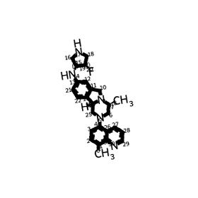 Cc1ccc(N2C[C@@H](C)N3Cc4cc(N[C@H]5CNC[C@H]5F)ccc4[C@H]3C2)c2cccnc12